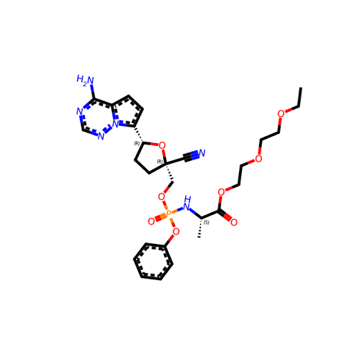 CCOCCOCCOC(=O)[C@H](C)NP(=O)(OC[C@]1(C#N)CC[C@H](c2ccc3c(N)ncnn23)O1)Oc1ccccc1